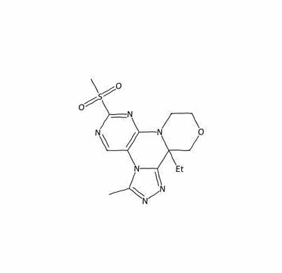 CCC12COCCN1c1nc(S(C)(=O)=O)ncc1-n1c(C)nnc12